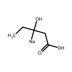 CC[C](O)([Na])CC(=O)O